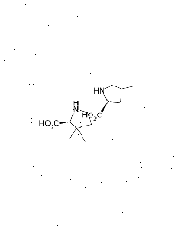 CC1(C)CCN[C@@H]1C(=O)O.CC1CN[C@H](C(=O)O)C1